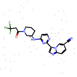 N#Cc1ccc2ncc(-c3nccc(N[C@@H]4CCCN(C(=O)CC(F)(F)F)C4)n3)n2c1